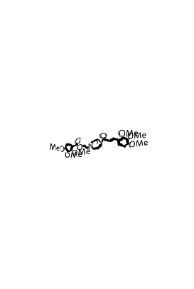 COc1ccc(/C=C/C(=O)N2CCCN(CCOC(=O)c3ccc(OC)c(OC)c3OC)CC2)c(OC)c1OC